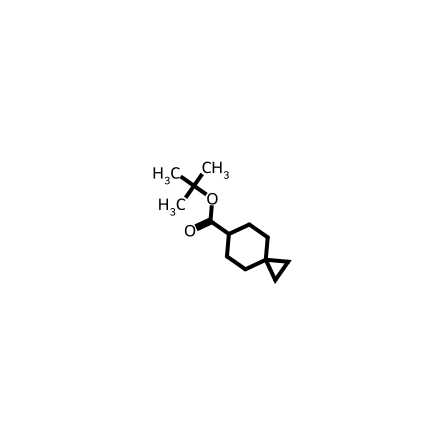 CC(C)(C)OC(=O)C1CCC2(CC1)CC2